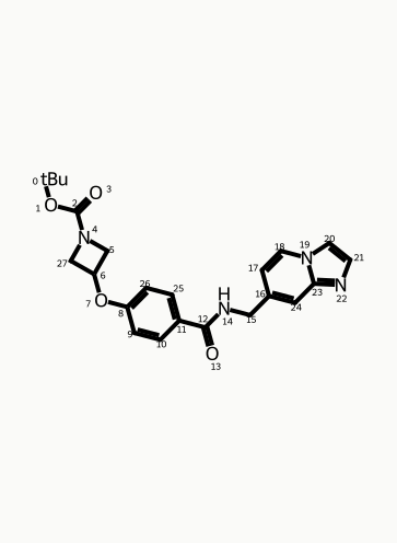 CC(C)(C)OC(=O)N1CC(Oc2ccc(C(=O)NCc3ccn4ccnc4c3)cc2)C1